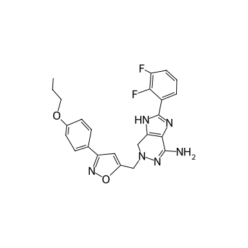 CCCOc1ccc(-c2cc(CN3Cc4[nH]c(-c5cccc(F)c5F)nc4C(N)=N3)on2)cc1